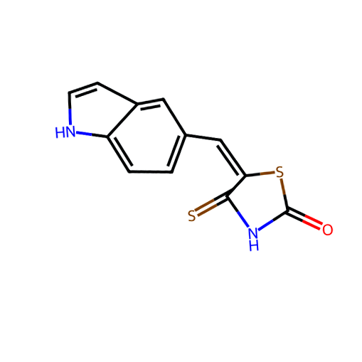 O=C1NC(=S)/C(=C\c2ccc3[nH]ccc3c2)S1